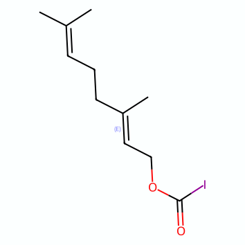 CC(C)=CCC/C(C)=C/COC(=O)I